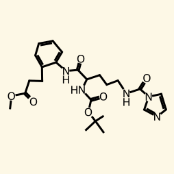 COC(=O)CCc1ccccc1NC(=O)C(CCCNC(=O)n1ccnc1)NC(=O)OC(C)(C)C